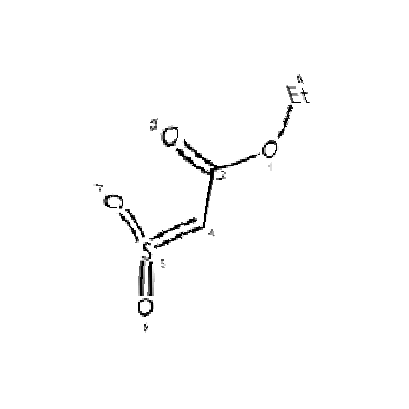 CCOC(=O)C=S(=O)=O